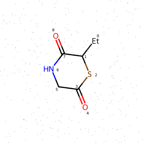 CCC1SC(=O)CNC1=O